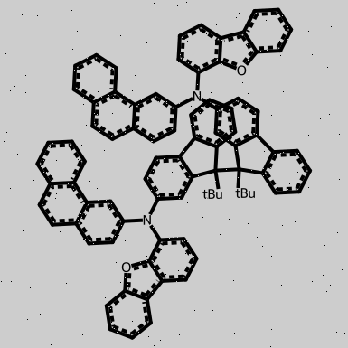 CC(C)(C)C1(C2(C(C)(C)C)c3ccccc3-c3ccc(N(c4ccc5ccc6ccccc6c5c4)c4cccc5c4oc4ccccc45)cc32)c2ccccc2-c2ccc(N(c3ccc4ccc5ccccc5c4c3)c3cccc4c3oc3ccccc34)cc21